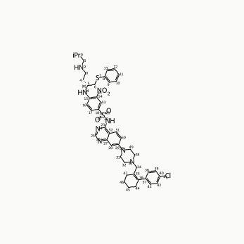 CC(C)CNCC[C@H](CSc1ccccc1)Nc1ccc(S(=O)(=O)Nc2ncnc3cc(N4CCN(CC5=C(c6ccc(Cl)cc6)CCCC5)CC4)ccc23)cc1[N+](=O)[O-]